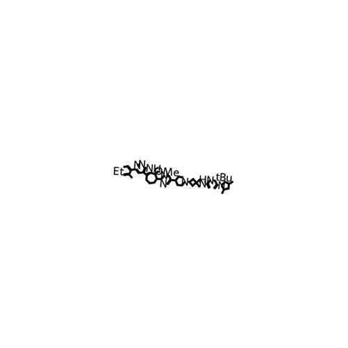 C=C(NC(C(=C)N1CC(C)CC1C)C(C)(C)C)N1CC2(CC(N3CCC(c4cnc(C5CCCc6c([nH]c7nnc(C(=C/C)/C(C)=C\CC)cc67)C5OC)nc4)CC3)C2)C1